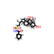 CC[C@H]1[C@@H](O)[C@@H]2[C@H](CC[C@]3(C)[C@@H]([C@H](C)CCS(=O)(=O)NC(=O)c4ccccc4)CC[C@@H]23)[C@@]2(C)CC[C@@H](O)C[C@@H]12